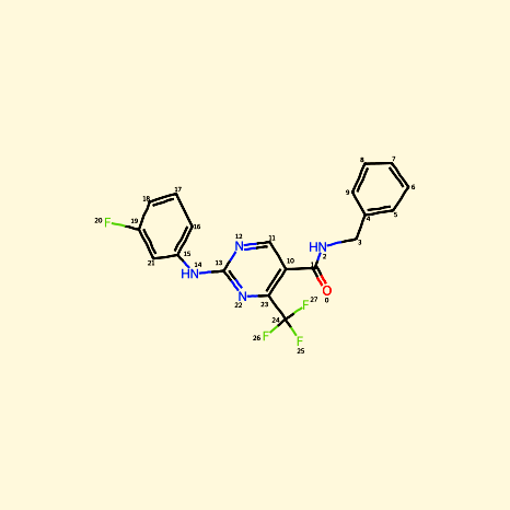 O=C(NCc1ccccc1)c1cnc(Nc2cccc(F)c2)nc1C(F)(F)F